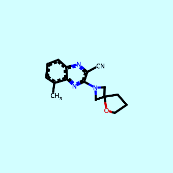 Cc1cccc2nc(C#N)c(N3CC4(CCCO4)C3)nc12